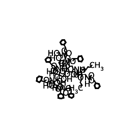 CCCCO[C@H](C(=O)N[C@@H]1C[C@H](NC(=O)OCc2ccccc2)[C@@H](O[C@H]2O[C@H](CN(CCO)C(=O)OCc3ccccc3)[C@@H](O)C[C@H]2NC(=O)OCc2ccccc2)[C@H](O[C@@H]2O[C@H](CO)[C@@H](O[C@H]3O[C@H]4CN(C(=O)OCc5ccccc5)C(c5ccccc5)O[C@H]4[C@H](O)[C@H]3NC(=O)OCc3ccccc3)[C@H]2O)[C@H]1O)[C@@H](CNC(=O)OCc1ccccc1)OCCCC